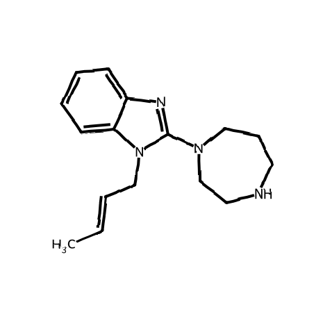 CC=CCn1c(N2CCCNCC2)nc2ccccc21